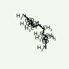 CC(C=CC=C(C)C=CC1=C(C)C(=O)C(OC(=O)CCCN)CC1(C)C)=CC=CC=C(C)C=CC=C(C)C=CC1=C(C)C(=O)C(OC(=O)CCCN)CC1(C)C